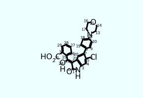 O=C1Nc2cc(Cl)c(-c3ccc(N4CCOCC4)cc3)cc2C1=C(O)c1ccccc1C(=O)O